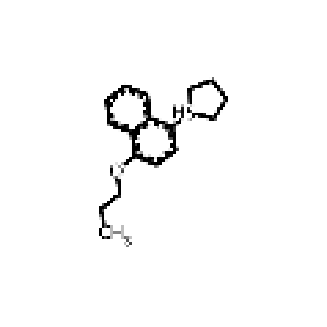 CCCOc1ccc([SH]2CCCC2)c2ccccc12